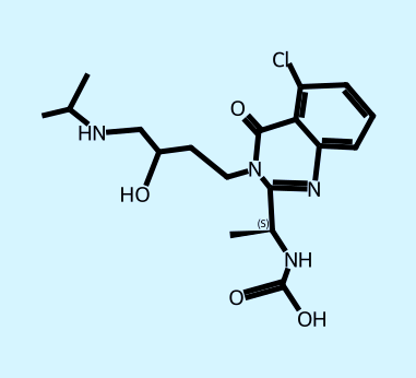 CC(C)NCC(O)CCn1c([C@H](C)NC(=O)O)nc2cccc(Cl)c2c1=O